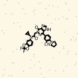 N#Cc1cc(-c2nn(CC(=O)N(c3ccc4c(c3)OC(F)(F)O4)C3CC3)c(=O)c3nc[nH]c23)ccc1N1CCCC1